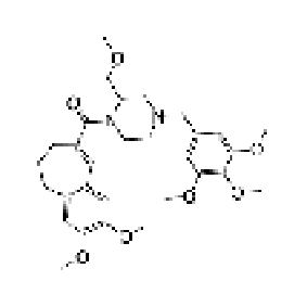 COCC1CN(Cc2cc(OC)c(OC)c(OC)c2)CCN1C(=O)C1=Cc2cc(OC)c(OC)cc2CCC1